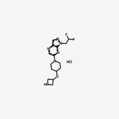 Cl.FC(F)Cn1ncc2ncc(N3CCC(OC4CNC4)CC3)nc21